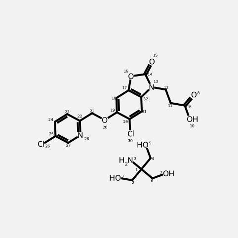 NC(CO)(CO)CO.O=C(O)CCn1c(=O)oc2cc(OCc3ccc(Cl)cn3)c(Cl)cc21